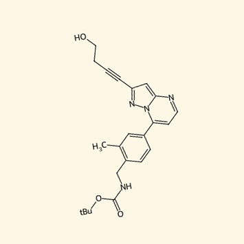 Cc1cc(-c2ccnc3cc(C#CCCO)nn23)ccc1CNC(=O)OC(C)(C)C